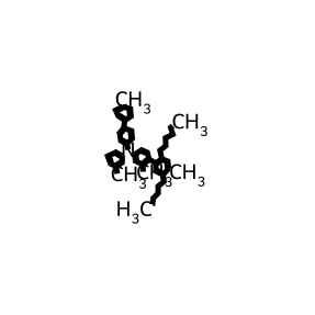 CCCCCCc1cc(-c2ccc(N(c3ccc(-c4ccc(C)cc4)cc3)c3cccc(C)c3)cc2C)c(CCCCCC)cc1C